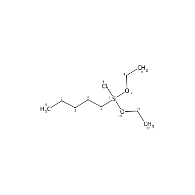 CCCCC[Si](Cl)(OCC)OCC